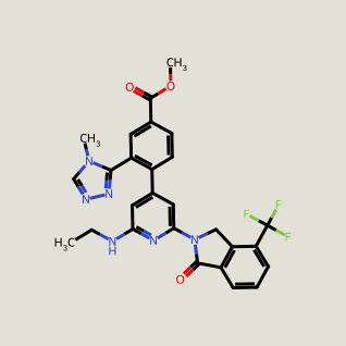 CCNc1cc(-c2ccc(C(=O)OC)cc2-c2nncn2C)cc(N2Cc3c(cccc3C(F)(F)F)C2=O)n1